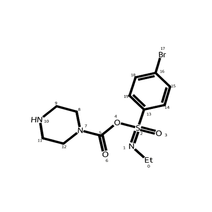 CCN=S(=O)(OC(=O)N1CCNCC1)c1ccc(Br)cc1